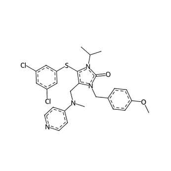 COc1ccc(Cn2c(CN(C)c3ccncc3)c(Sc3cc(Cl)cc(Cl)c3)n(C(C)C)c2=O)cc1